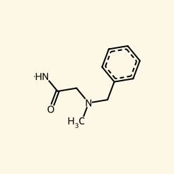 CN(CC([NH])=O)Cc1ccccc1